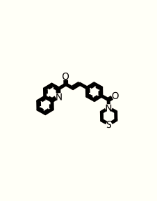 O=C(C=Cc1ccc(C(=O)N2CCSCC2)cc1)c1ccc2ccccc2n1